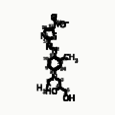 CCN(CC(O)CO)c1ccc(N=Nc2ncc([N+](=O)[O-])s2)c(C)c1